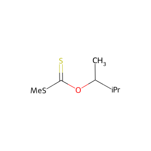 CSC(=S)OC(C)C(C)C